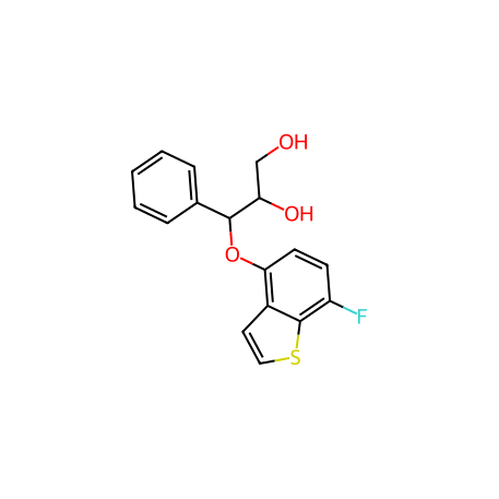 OCC(O)C(Oc1ccc(F)c2sccc12)c1ccccc1